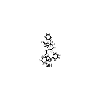 C=CC[C@]1(Cc2ccccc2)CCCN(/C=C/C[C@]2(CCc3ccccc3)CCCN(O)C2=O)C1=O